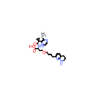 Cc1nccnc1C1(C(=O)NC(CCOCCCCc2ccc3c(n2)NCCC3)C(=O)O)CC1